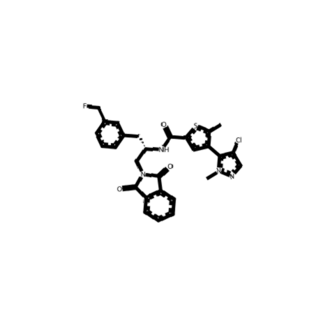 Cc1sc(C(=O)N[C@@H](Cc2cccc(CF)c2)CN2C(=O)c3ccccc3C2=O)cc1-c1c(Cl)cnn1C